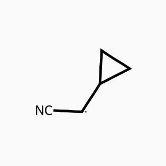 N#C[CH]C1CC1